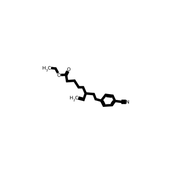 C=CC(CCCCC(=O)OCC)CCc1ccc(C#N)cc1